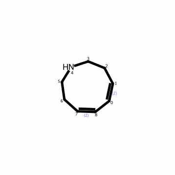 C1=C\CCNCC\C=C/1